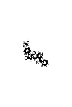 O=C(c1cnccc1CN1CC(=O)N(c2ccc(OC(F)(F)F)cc2)C1=O)N1CCCCC1